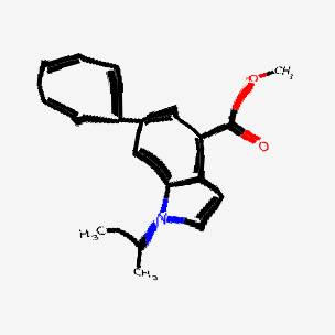 COC(=O)c1cc(-c2ccccc2)cc2c1ccn2C(C)C